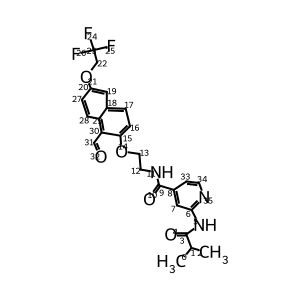 CC(C)C(=O)Nc1cc(C(=O)NCCOc2ccc3cc(OCC(F)(F)F)ccc3c2C=O)ccn1